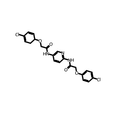 O=C(COC1C=CC(Cl)=CC1)Nc1ccc(NC(=O)COc2ccc(Cl)cc2)nc1